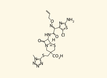 C=CCON=C(C(=O)NC1C(=O)N2CC(CSc3nnnn3C)(C(=O)O)CS[C@H]12)c1nc(N)sc1Cl